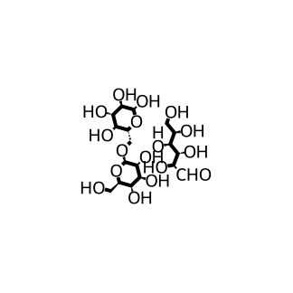 O=C[C@H](O)[C@@H](O)[C@@H](O)[C@H](O)CO.OC[C@H]1O[C@@H](OC[C@H]2O[C@@H](O)[C@H](O)[C@@H](O)[C@@H]2O)[C@H](O)[C@@H](O)[C@@H]1O